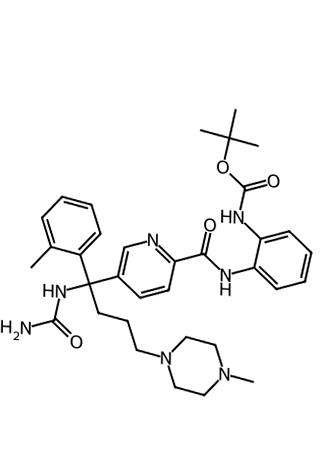 Cc1ccccc1C(CCCN1CCN(C)CC1)(NC(N)=O)c1ccc(C(=O)Nc2ccccc2NC(=O)OC(C)(C)C)nc1